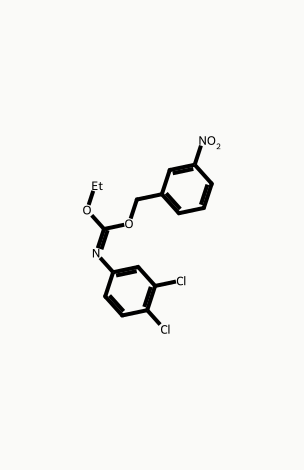 CCOC(=Nc1ccc(Cl)c(Cl)c1)OCc1cccc([N+](=O)[O-])c1